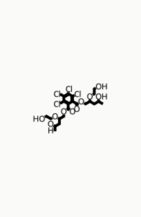 CC(O)CC(COC(=O)c1c(Cl)c(Cl)c(Cl)c(Cl)c1C(=O)OCC(CC(C)O)OCCO)OCCO